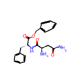 NC(=O)C[C@@H](N)C(=O)N[C@H](Cc1ccccc1)C(=O)OCc1ccccc1